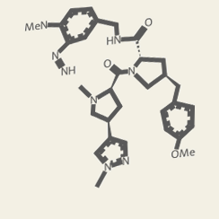 CNc1ccc(CNC(=O)[C@@H]2C[C@@H](Cc3ccc(OC)cc3)CN2C(=O)[C@H]2C[C@@H](c3cnn(C)c3)CN2C)cc1N=N